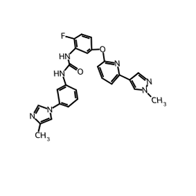 Cc1cn(-c2cccc(NC(=O)Nc3cc(Oc4cccc(-c5cnn(C)c5)n4)ccc3F)c2)cn1